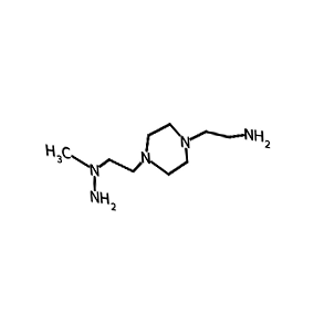 CN(N)CCN1CCN(CCN)CC1